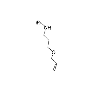 C=CCOCCCNC(C)C